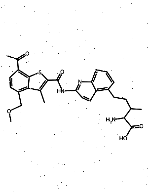 COCc1ccc(C(C)=O)c2sc(C(=O)Nc3ccc4c(CCC(C)C(N)C(=O)O)cccc4n3)c(C)c12